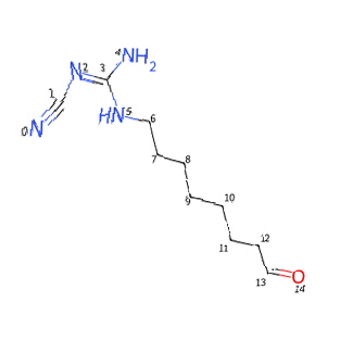 N#CN=C(N)NCCCCCCCC=O